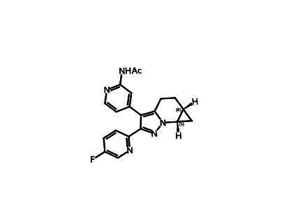 CC(=O)Nc1cc(-c2c(-c3ccc(F)cn3)nn3c2CC[C@@H]2C[C@@H]23)ccn1